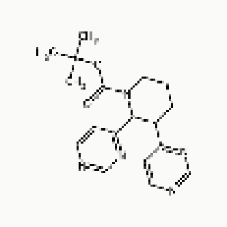 CC(C)(C)OC(=O)N1CCCC(c2ccncn2)C1c1ccncn1